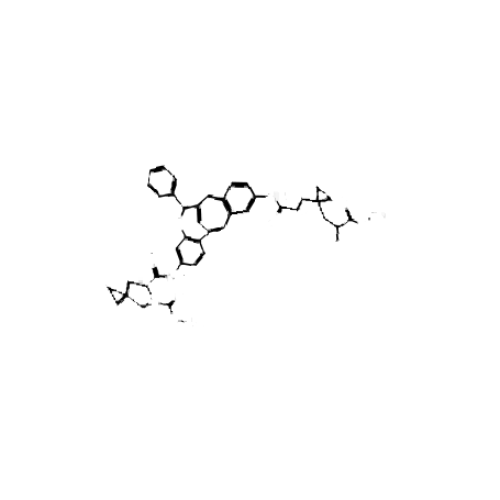 CC(CC1(C[C@H](C)C(=O)Nc2ccc3c(c2)C=C2C=C(C3)C(c3ccccc3)Oc3cc(NC(=O)[C@@H]4CC5(CC5)CN4C(=O)OC(C)(C)C)ccc32)CC1)C(=O)OC(C)(C)C